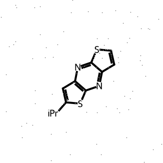 CC(C)c1cc2nc3sccc3nc2s1